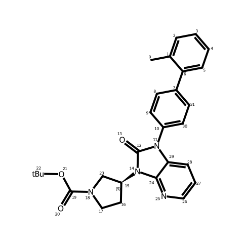 Cc1ccccc1-c1ccc(-n2c(=O)n([C@H]3CCN(C(=O)OC(C)(C)C)C3)c3ncccc32)cc1